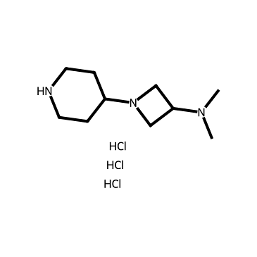 CN(C)C1CN(C2CCNCC2)C1.Cl.Cl.Cl